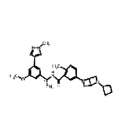 COc1cc(-c2cnn(C)c2)cc([C@@H](C)NC(=O)c2cc(N3CC4C3CN4C3CCC3)ccc2C)c1